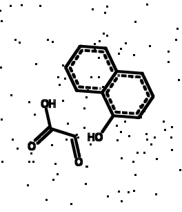 O=CC(=O)O.Oc1cccc2ccccc12